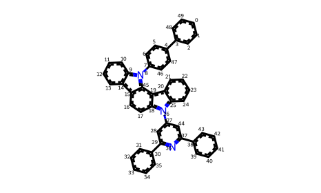 c1ccc(-c2ccc(-n3c4ccccc4c4ccc5c(c6ccccc6n5-c5cc(-c6ccccc6)nc(-c6ccccc6)c5)c43)cc2)cc1